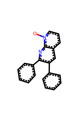 [O-][n+]1cccc2cc(-c3ccccc3)c(-c3ccccc3)nc21